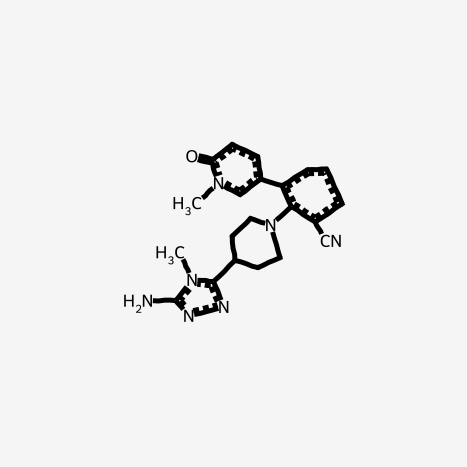 Cn1c(N)nnc1C1CCN(c2c(C#N)cccc2-c2ccc(=O)n(C)c2)CC1